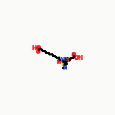 CN(C)c1cc(OCCCC(=O)O)c(NC(=O)CCCCCCCCCCCC(=O)O)s1